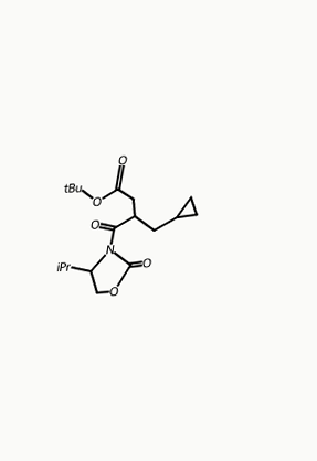 CC(C)C1COC(=O)N1C(=O)C(CC(=O)OC(C)(C)C)CC1CC1